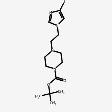 CC(C)(C)OC(=O)N1CCN(CCn2cnc(I)c2)CC1